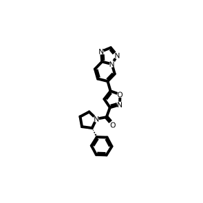 O=C(c1cc(-c2ccc3ncnn3c2)on1)N1CCC[C@H]1c1ccccc1